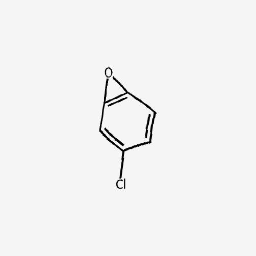 Clc1ccc2c(c1)O2